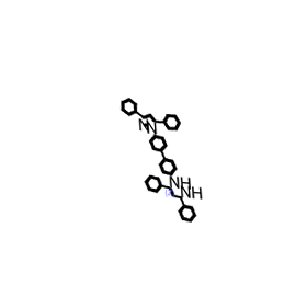 N=C(/C=C(\Nc1ccc(-c2ccc(-n3nc(-c4ccccc4)cc3-c3ccccc3)cc2)cc1)c1ccccc1)c1ccccc1